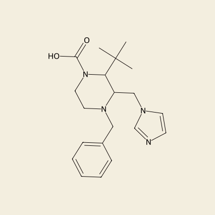 CC(C)(C)C1C(Cn2ccnc2)N(Cc2ccccc2)CCN1C(=O)O